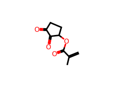 C=C(C)C(=O)OC1CCC(=O)C1=O